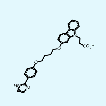 O=C(O)CCn1c2ccccc2c2ccc(OCCCCOc3ccc(-c4ncc[nH]4)cc3)cc21